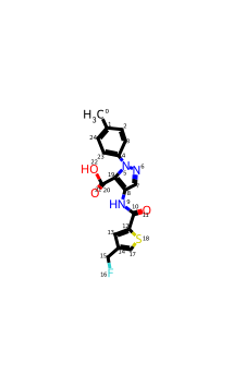 Cc1ccc(-n2ncc(NC(=O)c3cc(CF)cs3)c2C(=O)O)cc1